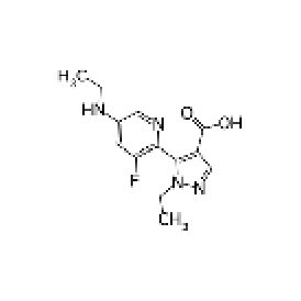 CCNc1cnc(-c2c(C(=O)O)cnn2CC)c(F)c1